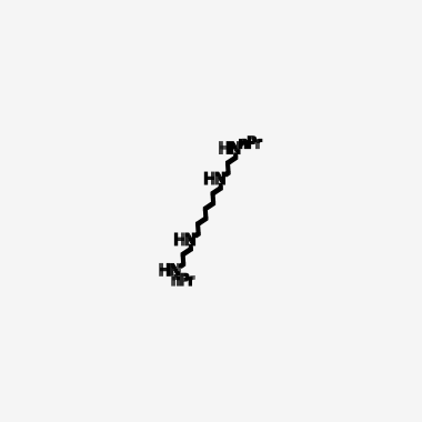 CCCNCCCNCCCCCCCNCCCNCCC